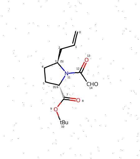 C=CC[C@@H]1CC[C@@H](C(=O)OC(C)(C)C)N1C(=O)C=O